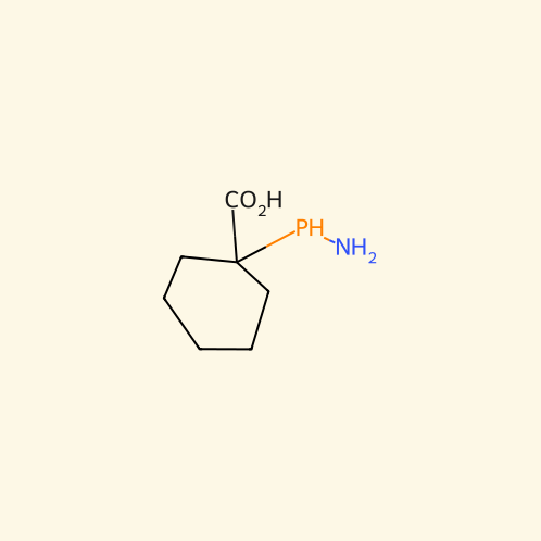 NPC1(C(=O)O)CCCCC1